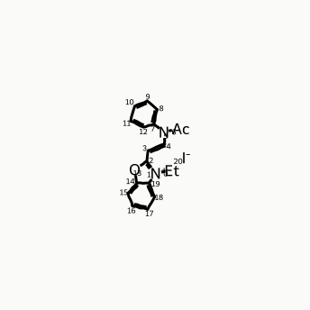 CC[n+]1c(C=CN(C(C)=O)c2ccccc2)oc2ccccc21.[I-]